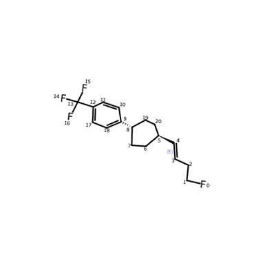 FCC/C=C/[C@H]1CC[C@H](c2ccc(C(F)(F)F)cc2)CC1